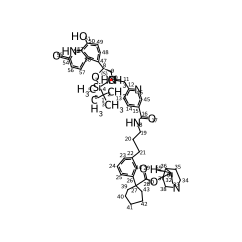 CC(C)(C)[Si](C)(C)O[C@H](CNCc1ccc(C(=O)NCCCc2cccc(C3(C(=O)O[C@H]4CN5CCC4CC5)CCCCC3)c2)cn1)c1ccc(O)c2[nH]c(=O)ccc12